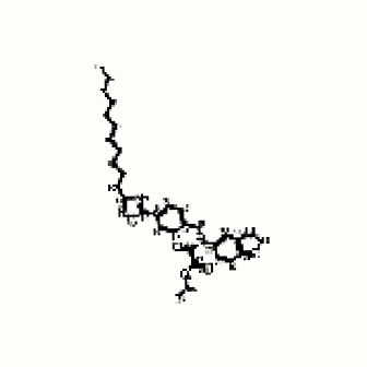 CCCCCCCCCCCc1noc(-c2ccc(CN(C(=O)C(=O)OCC)c3ccc4c(c3)OCO4)cc2)n1